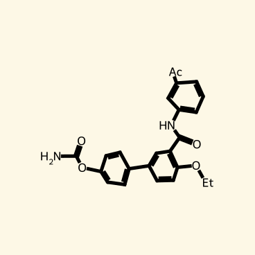 CCOc1ccc(-c2ccc(OC(N)=O)cc2)cc1C(=O)Nc1cccc(C(C)=O)c1